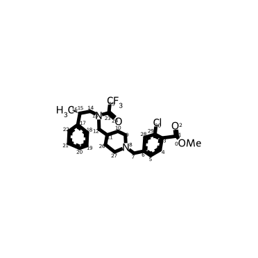 COC(=O)c1ccc(CN2CCC(CN(C[C@@H](C)c3ccccc3)C(=O)C(F)(F)F)CC2)cc1Cl